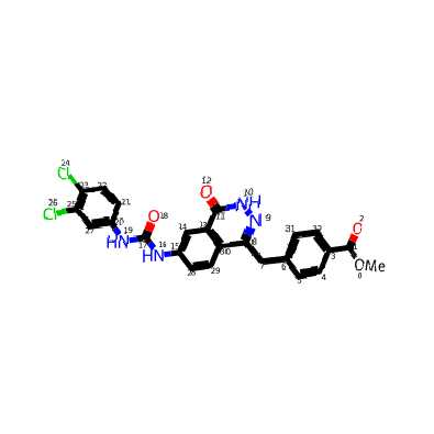 COC(=O)c1ccc(Cc2n[nH]c(=O)c3cc(NC(=O)Nc4ccc(Cl)c(Cl)c4)ccc23)cc1